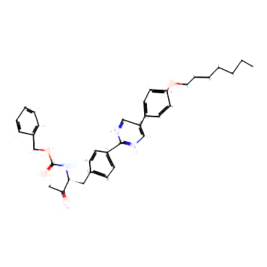 CCCCCCCOc1ccc(-c2cnc(-c3ccc(C[C@H](NC(=O)OCc4ccccc4)C(C)=O)cc3)nc2)cc1